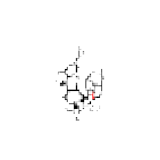 Cc1cc(C#N)ccc1Nc1ccnc(OC2C3COCC2CN(C(=O)OC(C)C)C3)c1F